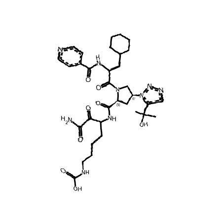 CC(C)(O)c1cnnn1[C@H]1C[C@@H](C(=O)NC(CCCCNC(=O)O)C(=O)C(N)=O)N(C(=O)C(CC2CCCCC2)NC(=O)c2ccncc2)C1